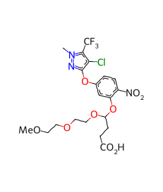 COCCOCCOC(CCC(=O)O)Oc1cc(Oc2nn(C)c(C(F)(F)F)c2Cl)ccc1[N+](=O)[O-]